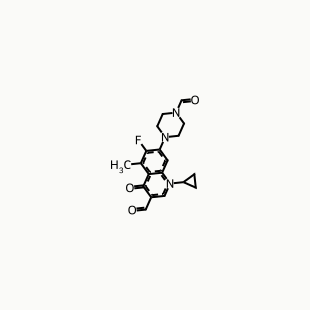 Cc1c(F)c(N2CCN(C=O)CC2)cc2c1c(=O)c(C=O)cn2C1CC1